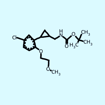 COCCOc1ccc(Cl)cc1C1CC1CNC(=O)OC(C)(C)C